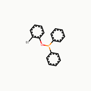 CCc1ccccc1OP(c1ccccc1)c1ccccc1